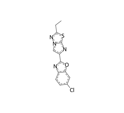 CCc1nn2cc(-c3nc4ccc(Cl)cc4o3)nc2s1